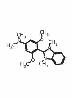 COc1cc(N(C)C)cc(SC)c1C1N(C)c2ccccc2N1C